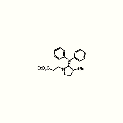 CCOC(=O)CCN1CCN(C(C)(C)C)C1[SiH](c1ccccc1)c1ccccc1